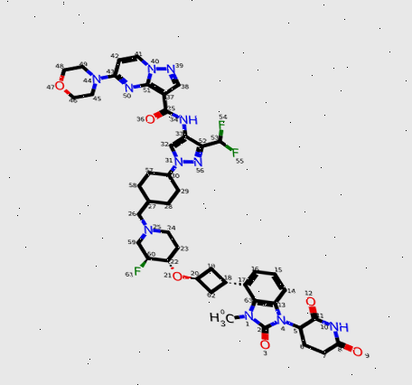 Cn1c(=O)n(C2CCC(=O)NC2=O)c2cccc([C@H]3C[C@H](O[C@H]4CCN(CC5CCC(n6cc(NC(=O)c7cnn8ccc(N9CCOCC9)nc78)c(C(F)F)n6)CC5)C[C@@H]4F)C3)c21